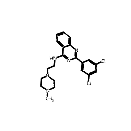 CN1CCN(CCNc2nc(-c3cc(Cl)cc(Cl)c3)nc3ccccc23)CC1